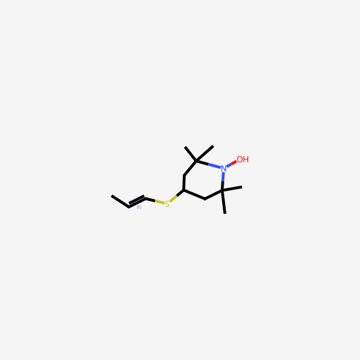 C/C=C/SC1CC(C)(C)N(O)C(C)(C)C1